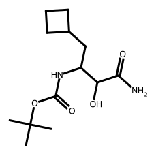 CC(C)(C)OC(=O)NC(CC1CCC1)C(O)C(N)=O